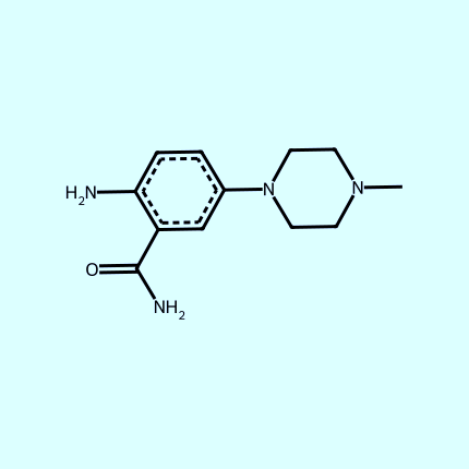 CN1CCN(c2ccc(N)c(C(N)=O)c2)CC1